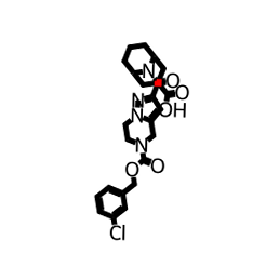 O=C(O)C1CC2CCCC(C1)N2C(=O)c1cc2n(n1)CCN(C(=O)OCc1cccc(Cl)c1)C2